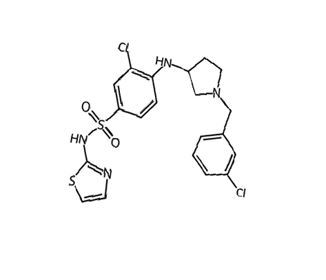 O=S(=O)(Nc1nccs1)c1ccc(NC2CCN(Cc3cccc(Cl)c3)C2)c(Cl)c1